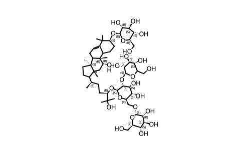 C[C@H](CC[C@@H](O[C@@H]1O[C@H](CO[C@H]2O[C@H](CO)[C@@H](O)[C@H](O)[C@H]2O)[C@@H](O)[C@H](O)[C@H]1O[C@@H]1OC(CO)[C@@H](O)[C@H](O)[C@H]1O)C(C)(C)O)C1CC[C@@]2(C)C3CC=C4C(CC[C@H](O[C@@H]5O[C@H](CO)[C@@H](O)[C@H](O)[C@H]5O)C4(C)C)[C@]3(C)[C@H](O)C[C@]12C